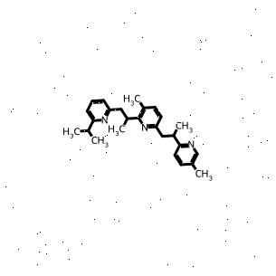 Cc1ccc(C(C)Cc2ccc(C)c(C(C)Cc3cccc(C(C)C)n3)n2)nc1